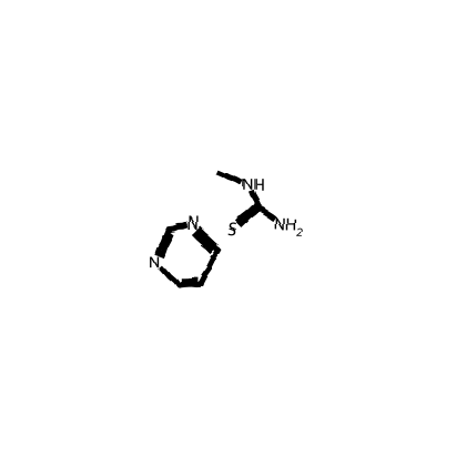 CNC(N)=S.c1cncnc1